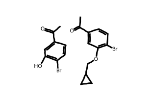 CC(=O)c1ccc(Br)c(O)c1.CC(=O)c1ccc(Br)c(OCC2CC2)c1